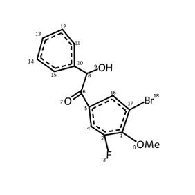 COc1c(F)cc(C(=O)C(O)c2ccccc2)cc1Br